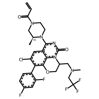 C=CC(=O)N1CCN(c2nc(=O)n3c4c(c(-c5ccc(F)cc5F)c(Cl)cc24)OCC3CN(C)CC(F)(F)F)[C@@H](C)C1